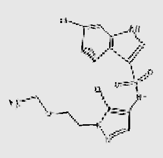 O=S(=O)(Nc1cnn(CCOCC(F)(F)F)c1Cl)c1c[nH]c2cc(Cl)ccc12